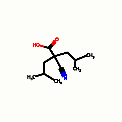 CC(C)CC(C#N)(CC(C)C)C(=O)O